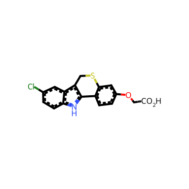 O=C(O)COc1ccc2c(c1)SCc1c-2[nH]c2ccc(Cl)cc12